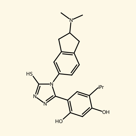 CC(C)c1cc(-c2nnc(S)n2-c2ccc3c(c2)CC(N(C)C)C3)c(O)cc1O